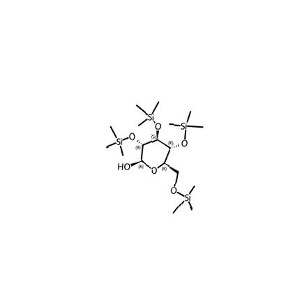 C[Si](C)(C)OC[C@H]1O[C@@H](O)[C@H](O[Si](C)(C)C)[C@@H](O[Si](C)(C)C)[C@@H]1O[Si](C)(C)C